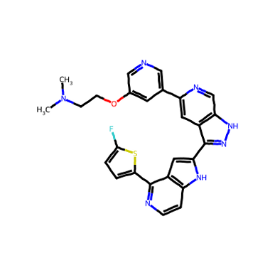 CN(C)CCOc1cncc(-c2cc3c(-c4cc5c(-c6ccc(F)s6)nccc5[nH]4)n[nH]c3cn2)c1